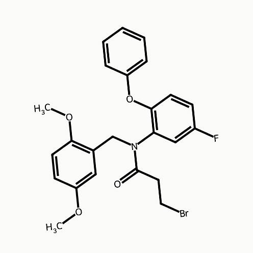 COc1ccc(OC)c(CN(C(=O)CCBr)c2cc(F)ccc2Oc2ccccc2)c1